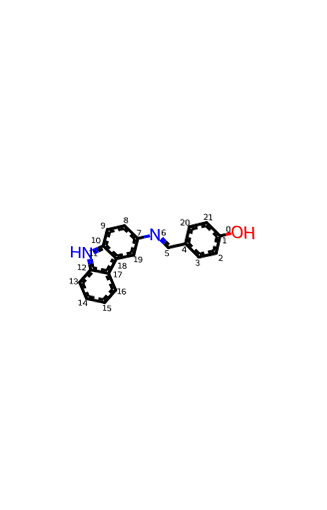 Oc1ccc(C=Nc2ccc3[nH]c4ccccc4c3c2)cc1